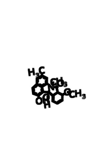 COC1C=CC=C2C1C(=O)[N+]1(C)c3cc(C)cc4ccc(O)c(c34)C21O